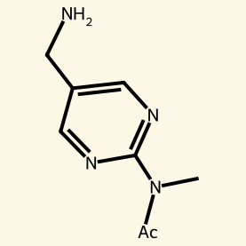 CC(=O)N(C)c1ncc(CN)cn1